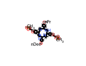 CCCCCCCCCCOc1ccc(-c2c3nc(c(-c4ccc(OCCOS(C)(=O)=O)cc4)c4ccc([nH]4)c(-c4ccc(OCCC)cc4)c4nc(c(-c5ccc(OCCOS(C)(=O)=O)cc5)c5ccc2[nH]5)C=C4)C=C3)cc1